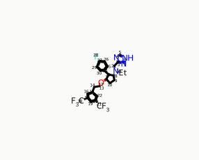 CCN(Cc1nc[nH]n1)C1CCC(OCCc2cc(C(F)(F)F)cc(C(F)(F)F)c2)C1c1ccc(F)cc1